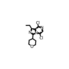 CCc1nc(C2CCOCC2)n2c(Cl)cnc(Cl)c12